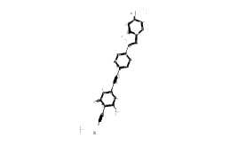 CCCc1ccc2cc(-c3ccc(C#Cc4cc(F)c(C#CC(F)(F)F)c(F)c4)cc3)sc2c1